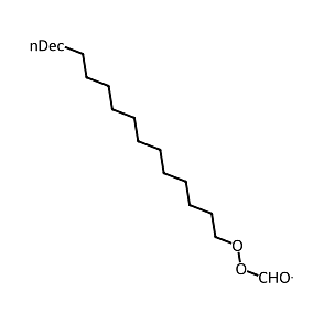 CCCCCCCCCCCCCCCCCCCCCCOO[C]=O